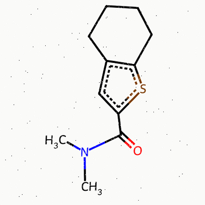 CN(C)C(=O)c1cc2c(s1)CCCC2